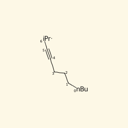 CCCCCCCC#C[C](C)C